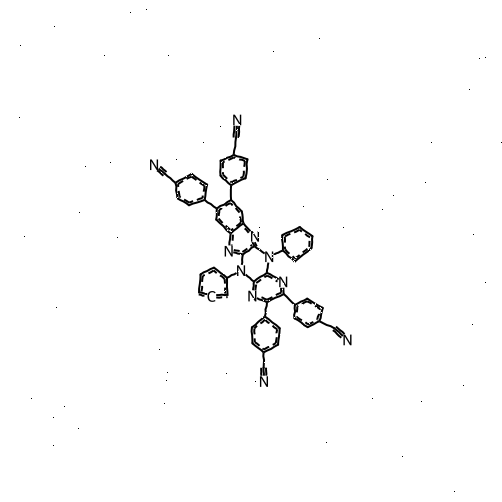 N#Cc1ccc(-c2cc3nc4c(nc3cc2-c2ccc(C#N)cc2)N(c2ccccc2)c2nc(-c3ccc(C#N)cc3)c(-c3ccc(C#N)cc3)nc2N4c2ccccc2)cc1